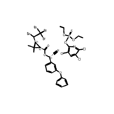 CC1(C)[C@H](C(=O)O[C@H](C#N)c2cccc(Oc3ccccc3)c2)[C@@H]1C(Br)C(Br)(Br)Br.CCOP(=S)(OCC)Oc1nc(Cl)c(Cl)cc1Cl